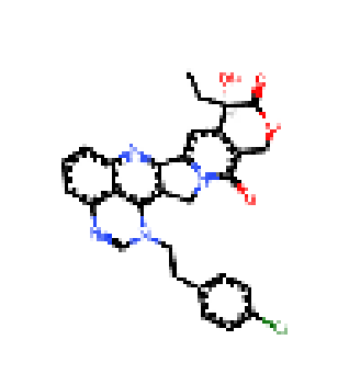 CC[C@@]1(O)C(=O)OCc2c1cc1n(c2=O)Cc2c-1nc1cccc3c1c2N(CCc1ccc(Cl)cc1)C=N3